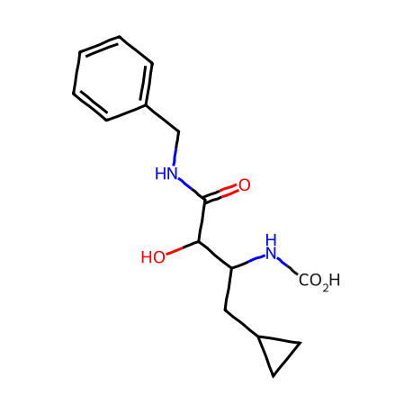 O=C(O)NC(CC1CC1)C(O)C(=O)NCc1ccccc1